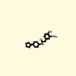 COc1cc(CC(=O)NC2CCC(=C3CCCC3)CC2)ccc1O